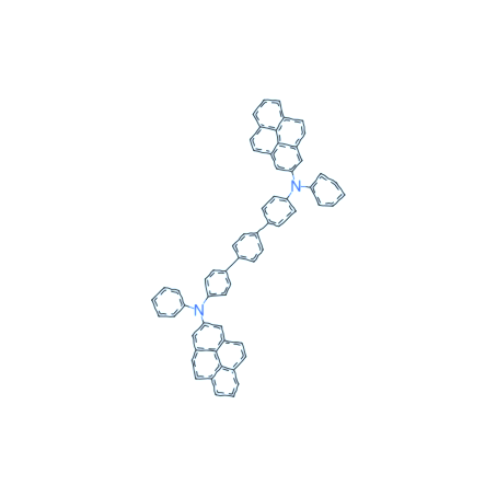 c1ccc(N(c2ccc(-c3ccc(-c4ccc(N(c5ccccc5)c5cc6ccc7cccc8ccc(c5)c6c78)cc4)cc3)cc2)c2cc3ccc4cccc5ccc(c2)c3c45)cc1